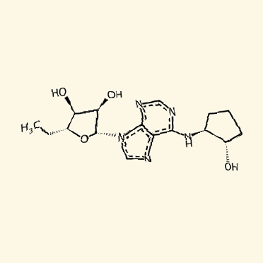 CC[C@H]1O[C@@H](n2cnc3c(N[C@H]4CCC[C@@H]4O)ncnc32)[C@H](O)[C@@H]1O